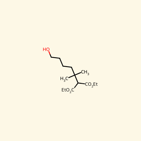 CCOC(=O)C(C(=O)OCC)C(C)(C)CCCCO